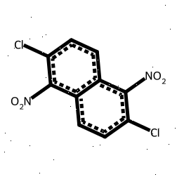 O=[N+]([O-])c1c(Cl)ccc2c([N+](=O)[O-])c(Cl)ccc12